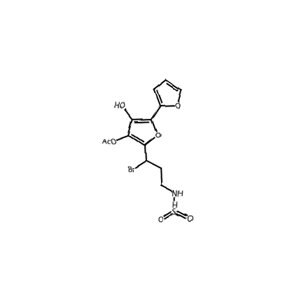 CC(=O)Oc1c(C(Br)CCN[SH](=O)=O)oc(-c2ccco2)c1O